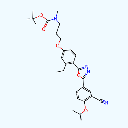 CCc1cc(OCCCN(C)C(=O)OC(C)(C)C)ccc1-c1nnc(-c2ccc(OC(C)C)c(C#N)c2)o1